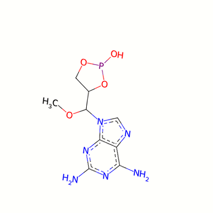 COC(C1COP(O)O1)n1cnc2c(N)nc(N)nc21